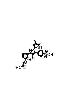 [2H]c1c(OCC(=O)O)cccc1C1=NN(c2cc(C)c(C)[nH]2)N(c2ccc(S(=O)(=O)O)cc2)N1